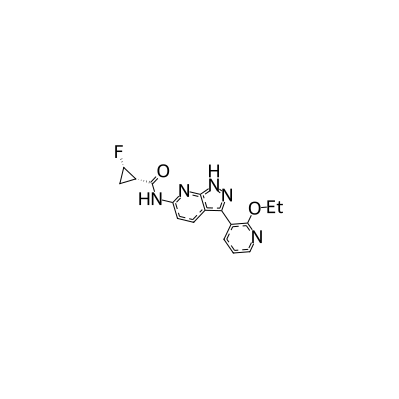 CCOc1ncccc1-c1n[nH]c2nc(NC(=O)[C@@H]3C[C@@H]3F)ccc12